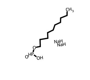 CCCCCCCCCCO[PH](=O)O.[NaH].[NaH]